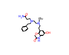 CC(C)(C)CN(CCc1cc(O)cc2c1OCC(=O)N2)CCN(CCC(N)=O)CCc1ccccc1